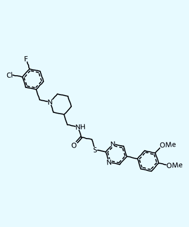 COc1ccc(-c2cnc(SCC(=O)NCC3CCCN(Cc4ccc(F)c(Cl)c4)C3)nc2)cc1OC